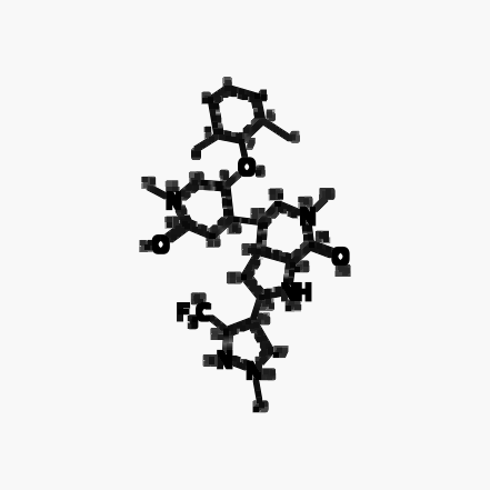 Cc1cccc(C)c1Oc1cn(C)c(=O)cc1-c1cn(C)c(=O)c2[nH]c(-c3cn(C)nc3C(F)(F)F)cc12